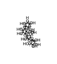 OCC1O[C@@H](O[C@@H]2C(CO)O[C@@H](O[C@@H]3C(CO)O[C@@H](O[C@@H]4C(CO)O[C@@H](O)C(O)C4O)[C@@H](O)C3O)[C@@H](O)C2O)[C@@H](O)C(O)[C@@H]1O